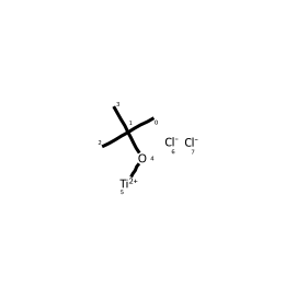 CC(C)(C)[O][Ti+2].[Cl-].[Cl-]